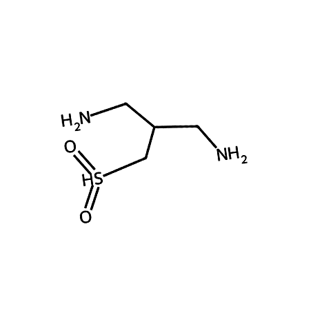 NCC(CN)C[SH](=O)=O